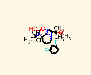 COC(C)(C)c1cnc2n1C[C@H](c1c(F)cccc1F)CC[C@H]2N(C(=O)O)C(C)(C)C